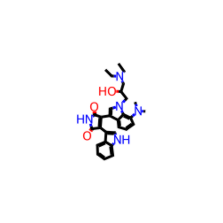 CCN(CC)CC(O)Cn1cc(C2=C(c3c[nH]c4ccccc34)C(=O)NC2=O)c2cccc(N(C)C)c21